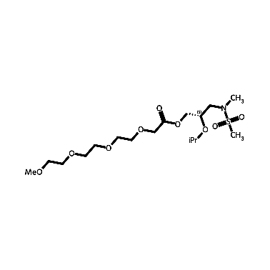 COCCOCCOCCOCC(=O)OC[C@H](CN(C)S(C)(=O)=O)OC(C)C